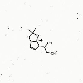 CC1(C)OC2C=C[C@@H](C(O)CO)[C@H]2O1